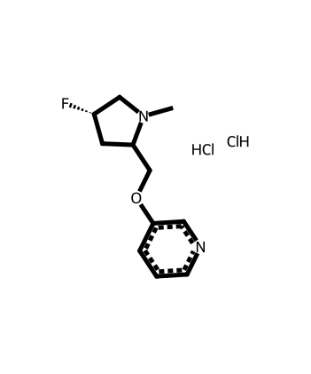 CN1C[C@@H](F)CC1COc1cccnc1.Cl.Cl